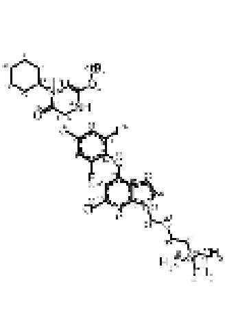 CC(C)(C)OC(=O)N[C@H](Cc1cc(F)c(Oc2cc(Cl)nc3c2ccn3COCC[Si](C)(C)C)c(F)c1)C(=O)NC1CCCCC1